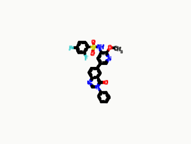 COc1ncc(-c2ccc3ncn(-c4ccccc4)c(=O)c3c2)cc1NS(=O)(=O)c1ccc(F)cc1F